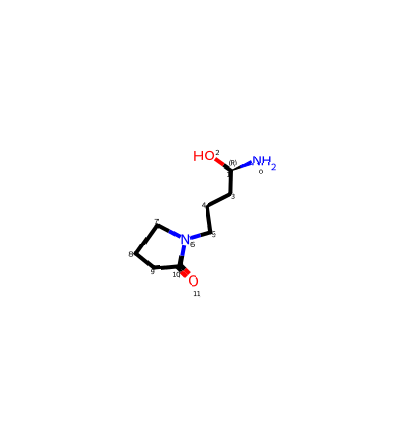 N[C@H](O)CCCN1CCCC1=O